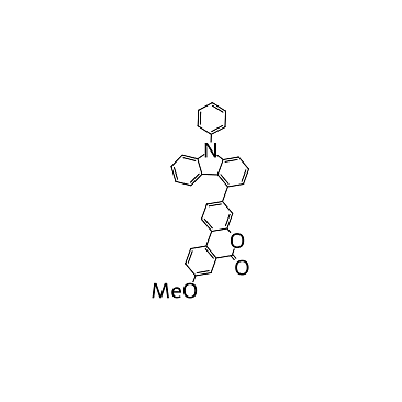 COc1ccc2c(c1)c(=O)oc1cc(-c3cccc4c3c3ccccc3n4-c3ccccc3)ccc12